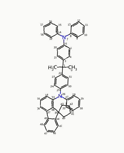 CC(C)(c1ccc(N(c2ccccc2)c2ccccc2)cc1)c1ccc(N(c2ccccc2)c2cccc3c2C2(CCCC2)c2ccccc2-3)cc1